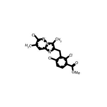 COC(=O)c1ccc(Cl)c(Cc2nc3cc(C)c(Cl)nn3c2C)c1Cl